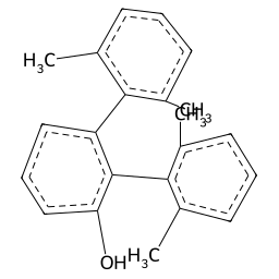 Cc1cccc(C)c1-c1cccc(O)c1-c1c(C)cccc1C